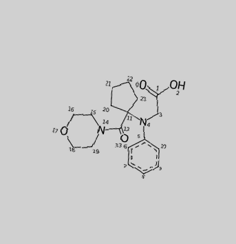 O=C(O)CN(c1ccccc1)C1(C(=O)N2CCOCC2)CCCC1